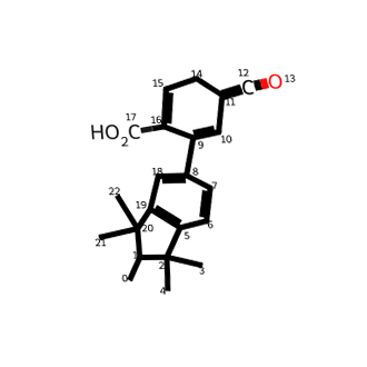 CC1C(C)(C)c2ccc(C3=CC(=C=O)CC=C3C(=O)O)cc2C1(C)C